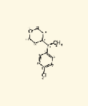 C[C@@H](c1ccc(Cl)cc1)C1CCOCC1